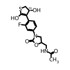 CC(=O)NCC1CN(c2ccc(C3=C(O)SC[C@H]3O)c(F)c2)C(=O)O1